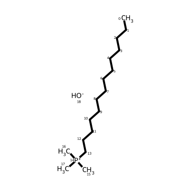 CCCCCCCCCCCCCC[P+](C)(C)C.[OH-]